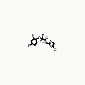 O=C(Nc1ncc(Cl)s1)C(F)(F)OC1=C(F)CC(F)C=C1